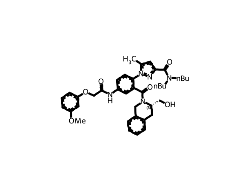 CCCCN(CCCC)C(=O)c1cc(C)n(-c2ccc(NC(=O)COc3cccc(OC)c3)cc2C(=O)N2Cc3ccccc3C[C@H]2CO)n1